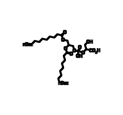 CCCCCCCCCCCCCCCCCC(=O)OCC(COP(=O)(O)OC(CO)C(=O)O)OC(=O)CCCCCCCCCCCCCCCCC